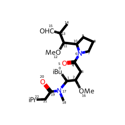 CCC(C)C(C(CC(=O)N1CCCC1C(OC)C(C)C=O)OC)N(C)C(=O)CC(C)C